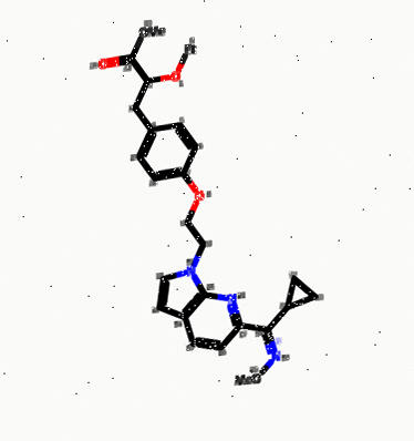 CCOC(Cc1ccc(OCCn2ccc3ccc(/C(=N\OC)C4CC4)nc32)cc1)C(=O)OC